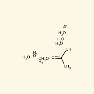 CC(=O)O.O.O.O.O.O.O.O.[Zn]